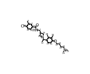 Cc1cc(C(=O)NCC2CN(C(C)c3ccc(OCCCCN(C)C)c(C)c3C)C2)ccc1Cl